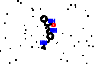 O=c1[nH]c2ccccc2cc1-c1cc2cc(CNC3CC3)ccc2[nH]1